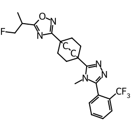 CC(CF)c1nc(C23CCC(c4nnc(-c5ccccc5C(F)(F)F)n4C)(CC2)CC3)no1